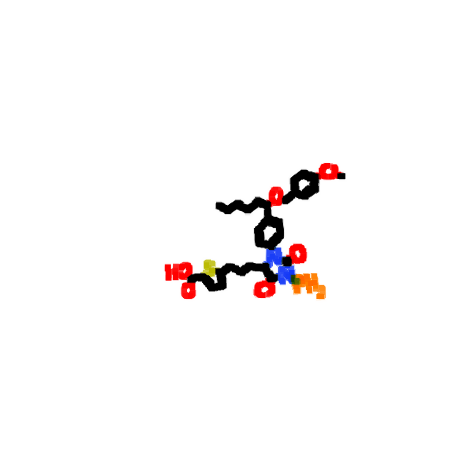 CCCCCC(OCc1ccc(OC)cc1)c1ccc(N2C(=O)N(P)C(=O)C2CCCc2ccc(C(=O)O)s2)cc1